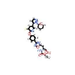 CC(C)(C)OC(=O)NC(CO)Cc1nc(-c2ccc(Oc3ncc(-c4ccnn4C4CCCCO4)cc3F)cc2)no1